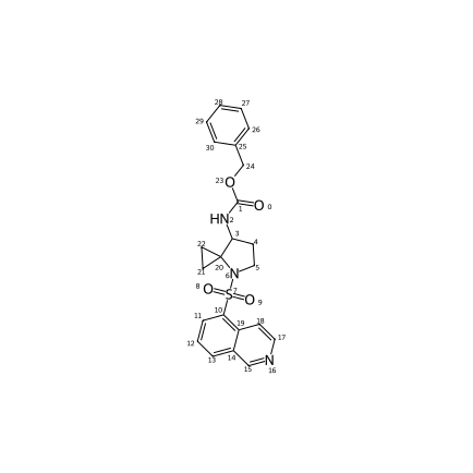 O=C(NC1CCN(S(=O)(=O)c2cccc3cnccc23)C12CC2)OCc1ccccc1